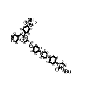 CCC(C)n1ncn(-c2ccc(N3CCN(c4ccc(OC[C@@H]5CO[C@](Cc6ccnnc6)(c6ccc(S(N)(=O)=O)cc6)O5)cc4)CC3)cc2)c1=O